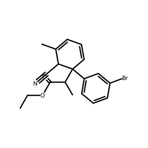 CCOC(=O)C(C)C1(c2cccc(Br)c2)C=CC=C(C)C1C#N